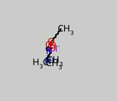 CCCCCCCCOC(=O)O[C@@H]1CCN(CC#CC[N+](C)(C)C)C1=O.[I-]